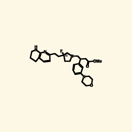 COC(=O)CC(CN1CC[C@](F)(CCc2ccc3c(n2)NCCC3)C1)c1cccc(N2CCOCC2)c1